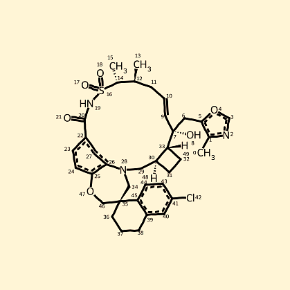 Cc1ncoc1C[C@]1(O)/C=C/C[C@H](C)[C@@H](C)S(=O)(=O)NC(=O)c2ccc3c(c2)N(C[C@@H]2CC[C@H]21)C[C@@]1(CCCc2cc(Cl)ccc21)CO3